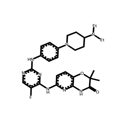 CCN(CC)C1CCN(c2ccc(Nc3ncc(F)c(Nc4ccc5c(n4)NC(=O)C(C)(C)O5)n3)cc2)CC1